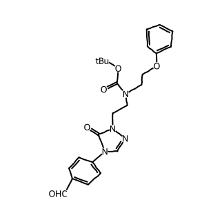 CC(C)(C)OC(=O)N(CCOc1ccccc1)CCn1ncn(-c2ccc(C=O)cc2)c1=O